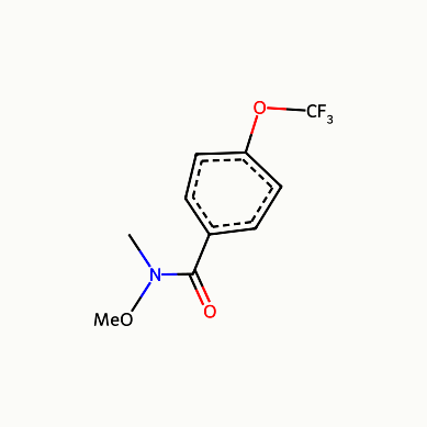 CON(C)C(=O)c1ccc(OC(F)(F)F)cc1